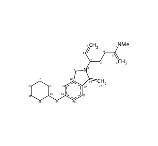 C=CC(CCC(=C)NC)N1Cc2cc(CC3CCCCC3)ccc2C1=C